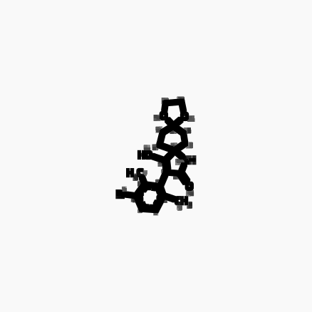 Cc1ccc(Br)c(C)c1C1=C(O)C2(CCC3(CC2)OCCO3)NC1=O